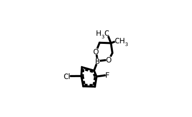 CC1(C)COB(c2cc(Cl)ccc2F)OC1